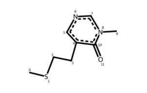 CSCCc1cncn(C)c1=O